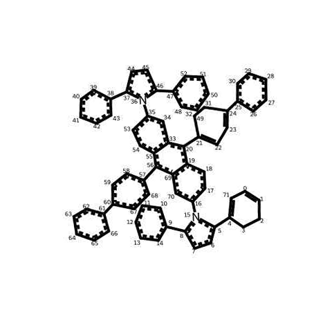 C1=CCCC(c2ccc(-c3ccccc3)n2-c2ccc3c(C4=CC=C(c5ccccc5)CC4)c4cc(-n5c(-c6ccccc6)ccc5-c5ccccc5)ccc4c(-c4ccc(-c5ccccc5)cc4)c3c2)=C1